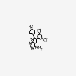 CN(C)c1ccc(-c2nc3ncnc(N)c3cc2-c2cc(Cl)cc(Cl)c2)cc1